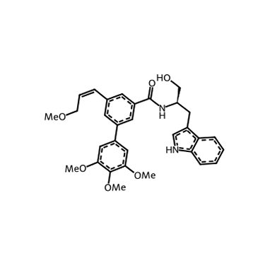 COC/C=C\c1cc(C(=O)N[C@@H](CO)Cc2c[nH]c3ccccc23)cc(-c2cc(OC)c(OC)c(OC)c2)c1